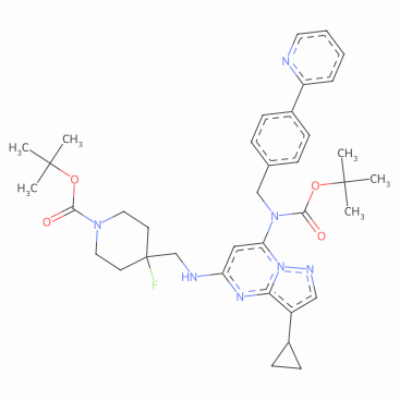 CC(C)(C)OC(=O)N1CCC(F)(CNc2cc(N(Cc3ccc(-c4ccccn4)cc3)C(=O)OC(C)(C)C)n3ncc(C4CC4)c3n2)CC1